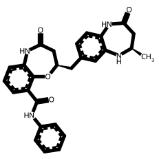 C[C@@H]1CC(=O)Nc2ccc(C[C@@H]3CC(=O)Nc4cccc(C(=O)Nc5ccccc5)c4O3)cc2N1